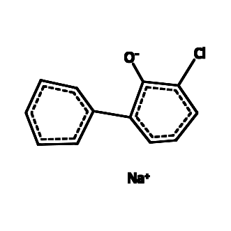 [Na+].[O-]c1c(Cl)cccc1-c1ccccc1